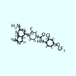 C[C@H]1CN(C(=O)Nc2ccc(OC(F)(F)F)cc2Cl)CCN1c1nc(N)nc2c1cnn2C